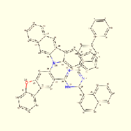 c1ccc(-c2ccc(C3=NC(c4cccc5ccccc45)NC(c4cc5c(cc4-n4c6cc7ccccc7cc6c6cc7ccccc7cc64)oc4ccccc45)=N3)cc2)cc1